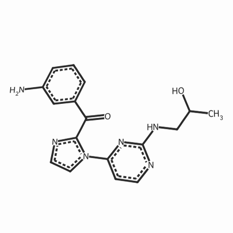 CC(O)CNc1nccc(-n2ccnc2C(=O)c2cccc(N)c2)n1